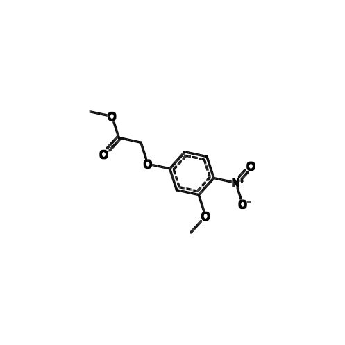 COC(=O)COc1ccc([N+](=O)[O-])c(OC)c1